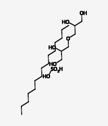 CCCCCCCCCCCCCCC.O=S(=O)(O)O.OCC(O)COCC(O)CO